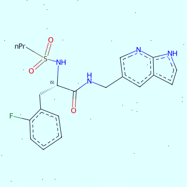 CCCS(=O)(=O)N[C@@H](Cc1ccccc1F)C(=O)NCc1cnc2[nH]ccc2c1